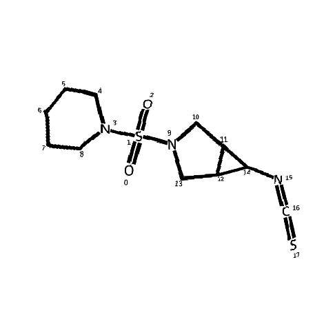 O=S(=O)(N1CCCCC1)N1CC2C(C1)C2N=C=S